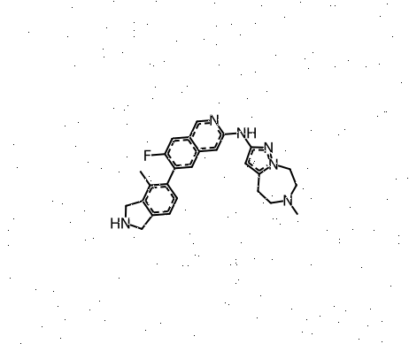 Cc1c(-c2cc3cc(Nc4cc5n(n4)CCN(C)CC5)ncc3cc2F)ccc2c1CNC2